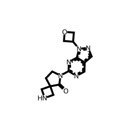 O=C1N(c2ncc3cnn(C4COC4)c3n2)CCC12CNC2